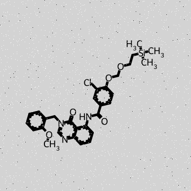 COc1ccccc1Cn1cnc2cccc(NC(=O)c3ccc(OCOCC[Si](C)(C)C)c(Cl)c3)c2c1=O